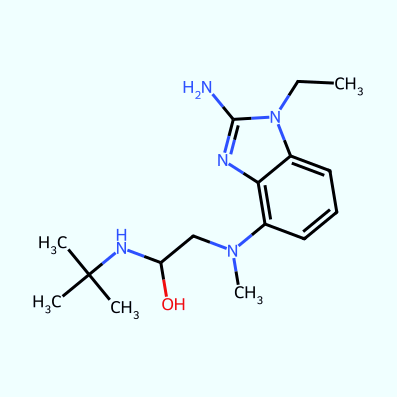 CCn1c(N)nc2c(N(C)CC(O)NC(C)(C)C)cccc21